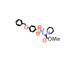 COC(=O)[C@H](CN(C)S(=O)(=O)c1ccc(OCc2ccccc2)cc1)N1CCCCC1